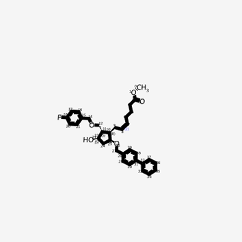 COC(=O)CCC/C=C\C[C@@H]1[C@@H](COCc2ccc(F)cc2)[C@@H](O)C[C@@H]1OCc1ccc(-c2ccccc2)cc1